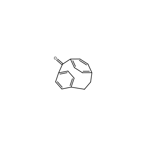 O=C1c2ccc(cc2)CCc2ccc1cc2